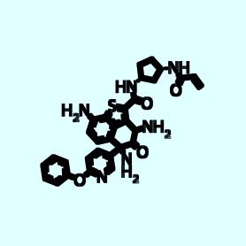 C=CC(=O)N[C@H]1CC[C@@H](NC(=O)c2sc3c(N)ccc4c3c2C(N)C(=O)C4(N)c2ccc(Oc3ccccc3)nc2)C1